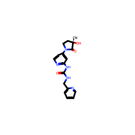 N#C[C@@]1(O)CCN(c2ccnc(NC(=O)NCc3ccccn3)c2)C1=O